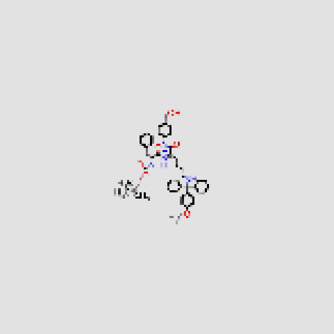 COc1ccc(C(NCCCC[C@H](NC(=O)[C@H](Cc2ccccc2)NC(=O)OCC[Si](C)(C)C)C(=O)Nc2ccc(CO)cc2)(c2ccccc2)c2ccccc2)cc1